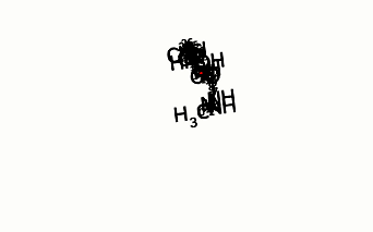 Cc1c[nH]c(NCCCCC2CC(C(=O)NCC(NS(=O)(=O)c3c(Cl)cccc3Cl)C(=O)O)=NO2)n1